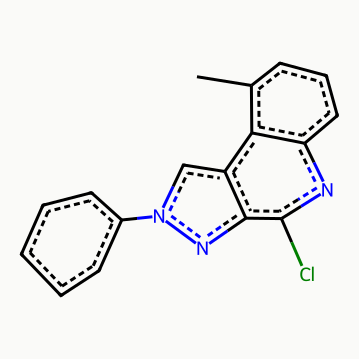 Cc1cccc2nc(Cl)c3nn(-c4ccccc4)cc3c12